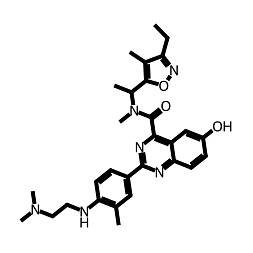 CCc1noc(C(C)N(C)C(=O)c2nc(-c3ccc(NCCN(C)C)c(C)c3)nc3ccc(O)cc23)c1C